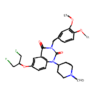 CCOc1ccc(Cn2c(=O)c3cc(OC(CF)CF)ccc3n(C3CCN(C=O)CC3)c2=O)cc1OCC